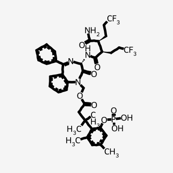 Cc1cc(C)c(C(C)(C)CC(=O)OCN2C(=O)[C@@H](NC(=O)[C@H](CCC(F)(F)F)[C@H](CCC(F)(F)F)C(N)=O)N=C(c3ccccc3)c3ccccc32)c(OP(=O)(O)O)c1